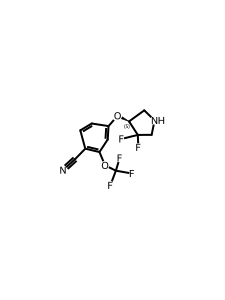 N#Cc1ccc(O[C@H]2CNCC2(F)F)cc1OC(F)(F)F